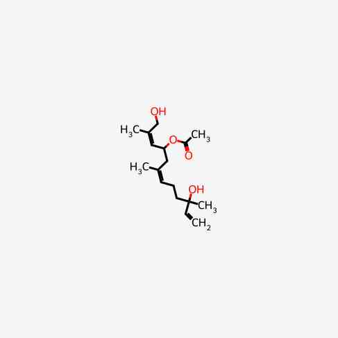 C=CC(C)(O)CCC=C(C)CC(C=C(C)CO)OC(C)=O